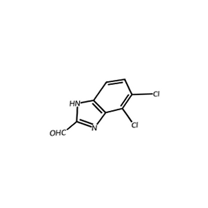 O=Cc1nc2c(Cl)c(Cl)ccc2[nH]1